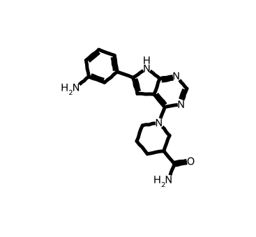 NC(=O)C1CCCN(c2ncnc3[nH]c(-c4cccc(N)c4)cc23)C1